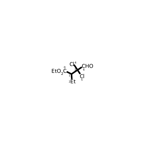 CCOC(=O)C(CC)C(Cl)(Cl)C=O